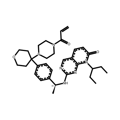 C=CC(=O)N1CCN(C2(c3ccc([C@H](C)Nc4ncc5ccc(=O)n(C(CC)CC)c5n4)cc3)CCOCC2)CC1